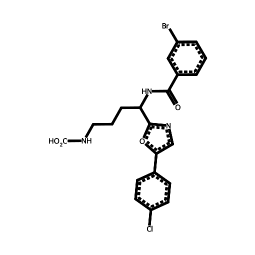 O=C(O)NCCCC(NC(=O)c1cccc(Br)c1)c1ncc(-c2ccc(Cl)cc2)o1